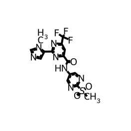 Cn1cncc1-c1nc(C(=O)Nc2cnc(S(C)(=O)=O)nc2)cc(C(F)(F)F)n1